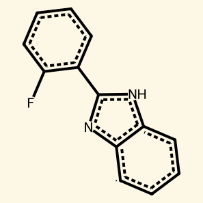 Fc1ccccc1-c1nc2[c]cccc2[nH]1